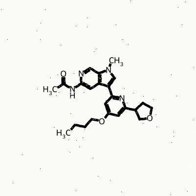 CCCCOc1cc(-c2cn(C)c3cnc(NC(C)=O)cc23)nc(C2CCOC2)c1